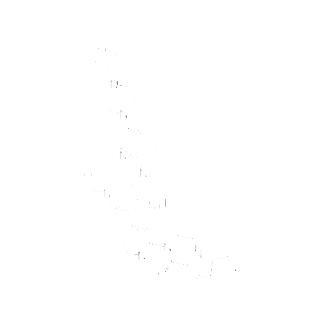 C/C(=C\C(=C/N(C)C=O)c1ccnc(N2CCn3c(cc4c3CC(C)(C)C4)C2=O)c1CO)Nc1ccc(N2CCN(C3COC3)CC2)cn1